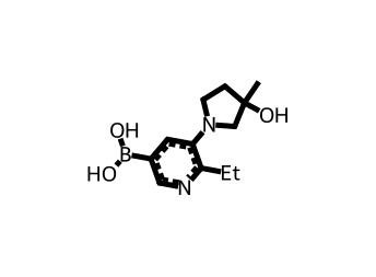 CCc1ncc(B(O)O)cc1N1CCC(C)(O)C1